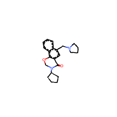 O=C1c2cc(CN3CCCC3)c3ccccc3c2OCN1C1CCCC1